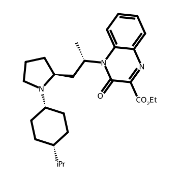 CCOC(=O)c1nc2ccccc2n([C@@H](C)C[C@@H]2CCCN2[C@H]2CC[C@@H](C(C)C)CC2)c1=O